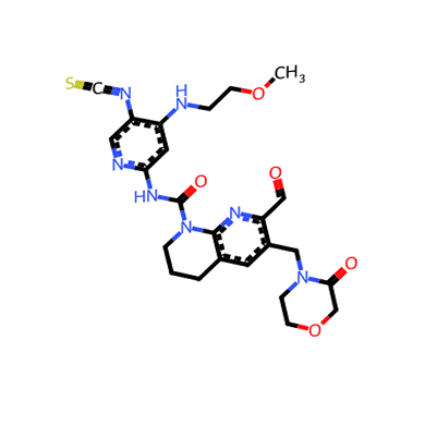 COCCNc1cc(NC(=O)N2CCCc3cc(CN4CCOCC4=O)c(C=O)nc32)ncc1N=C=S